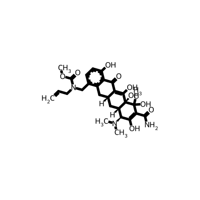 C=CCN(Cc1ccc(O)c2c1C[C@H]1C[C@H]3[C@H](N(C)C)C(O)=C(C(N)=O)C(C)(O)[C@@]3(O)C(O)=C1C2=O)C(=O)OC